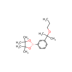 CCCOC(C)(C)c1cccc(B2OC(C)(C)C(C)(C)O2)c1